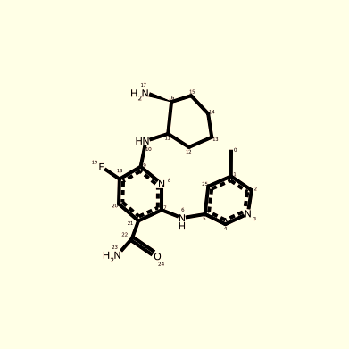 Cc1cncc(Nc2nc(NC3CCCC[C@@H]3N)c(F)cc2C(N)=O)c1